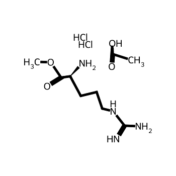 CC(=O)O.COC(=O)[C@@H](N)CCCNC(=N)N.Cl.Cl